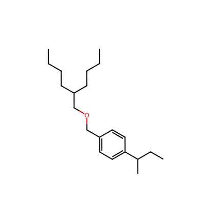 CCCCC(CCCC)COCc1ccc(C(C)CC)cc1